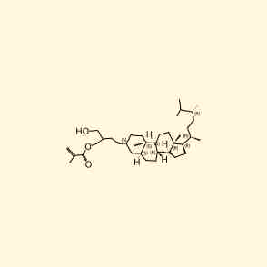 C=C(C)C(=O)OCC(CO)CC[C@H]1CC[C@@]2(C)[C@@H](CC[C@@H]3[C@@H]2CC[C@]2(C)[C@@H]([C@H](C)CC[C@@H](C)C(C)C)CC[C@@H]32)C1